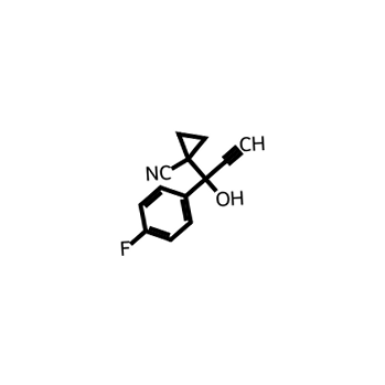 C#CC(O)(c1ccc(F)cc1)C1(C#N)CC1